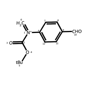 C=[N+](C(=O)OC(C)(C)C)c1ccc(C=O)cc1